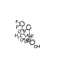 CC1C(C(=O)O)N(S(=O)(=O)c2ccc(O)cc2)Cc2ccccc2N1C(=O)c1cccc(F)c1F